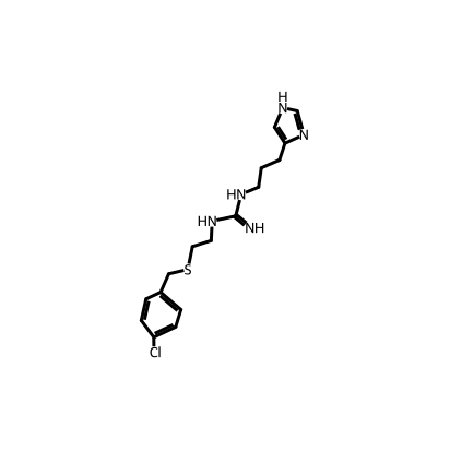 N=C(NCCCc1c[nH]cn1)NCCSCc1ccc(Cl)cc1